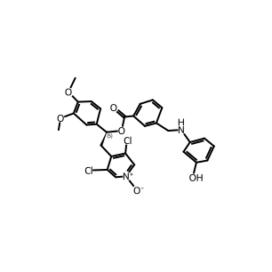 COc1ccc([C@H](Cc2c(Cl)c[n+]([O-])cc2Cl)OC(=O)c2cccc(CNc3cccc(O)c3)c2)cc1OC